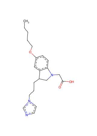 CCCCCOc1ccc2c(c1)C(CCCn1ccnc1)CN2CC(=O)O